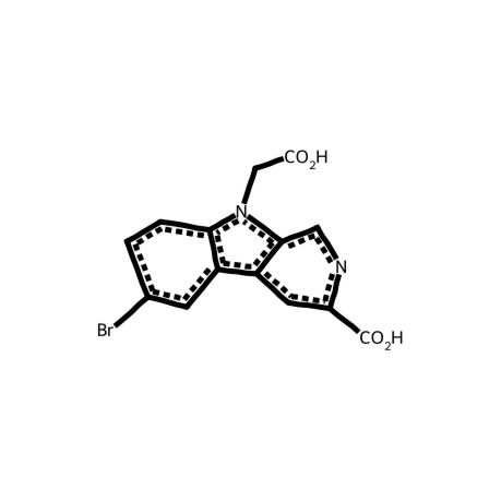 O=C(O)Cn1c2ccc(Br)cc2c2cc(C(=O)O)ncc21